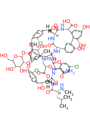 CN[C@H](CC(C)C)C(=O)N[C@@H]1C(=O)NC(CC(N)=O)C(=O)NC2C(=O)NC3C(=O)N[C@H](C(=O)NC(C(=O)O)c4cc(O)cc(O)c4-c4cc3ccc4O)[C@H](O)c3ccc(c(Cl)c3)Oc3cc2cc(c3OC2OC(CO)C(O)C(O)C2OC2CC(C)(NCC(OCc3ccc(Cl)cc3)C(=O)OC)C(O)C(C)O2)Oc2ccc(cc2Cl)C1O